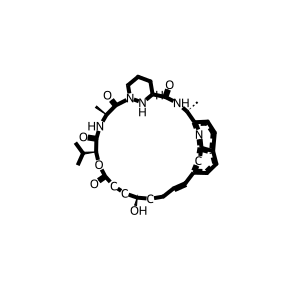 CC(C)[C@@H]1OC(=O)CC[C@H](O)CC/C=C/c2ccc3ccc(nc3c2)[C@@H](C)NC(=O)[C@@H]2CCCN(N2)C(=O)[C@H](C)NC1=O